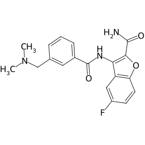 CN(C)Cc1cccc(C(=O)Nc2c(C(N)=O)oc3ccc(F)cc23)c1